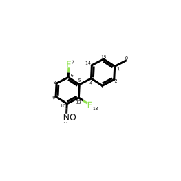 Cc1ccc(-c2c(F)ccc(N=O)c2F)cc1